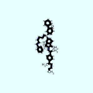 C=C/C=C\C(=C)c1ccc(C(=C)/C=C2\C(=C)c3ccc(N(/C=C/C=C\C=C\c4ccccc4)c4ccc5oc6ccccc6c5c4)cc3C2(C)C)cc1